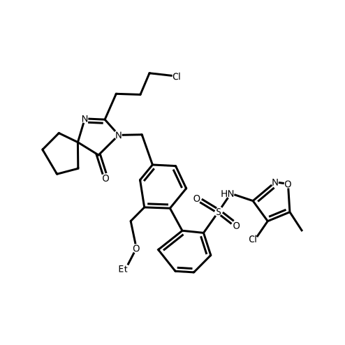 CCOCc1cc(CN2C(=O)C3(CCCC3)N=C2CCCCl)ccc1-c1ccccc1S(=O)(=O)Nc1noc(C)c1Cl